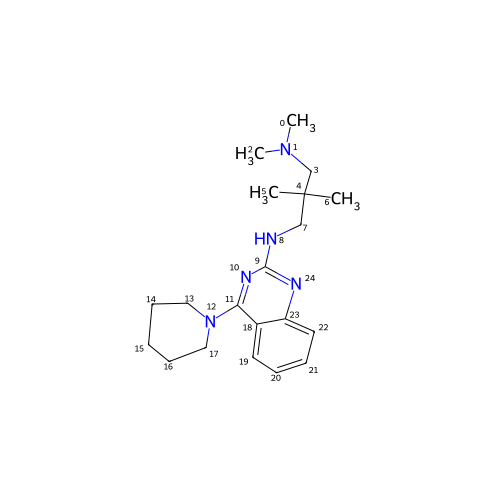 CN(C)CC(C)(C)CNc1nc(N2CCCCC2)c2ccccc2n1